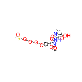 CC(=O)SCCOCCOCCOCCOc1ccc(C(C)(C)C(C(=O)NC(C(=O)N(C)C(C=C(C)C(=O)O)C(C)C)C(C)(C)C)N(C)C(=O)OC(C)(C)C)cc1